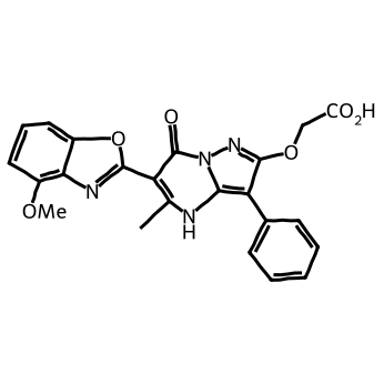 COc1cccc2oc(-c3c(C)[nH]c4c(-c5ccccc5)c(OCC(=O)O)nn4c3=O)nc12